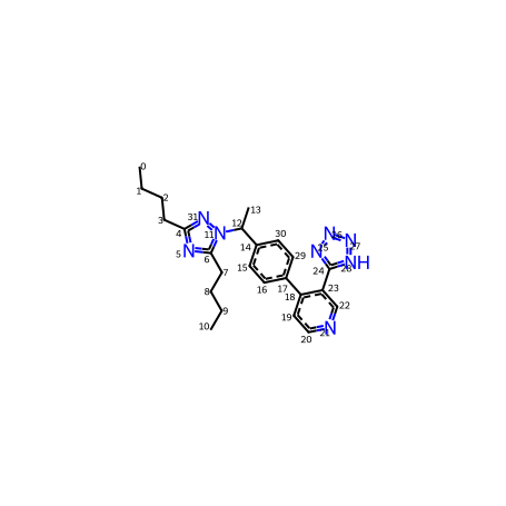 CCCCc1nc(CCCC)n(C(C)c2ccc(-c3ccncc3-c3nnn[nH]3)cc2)n1